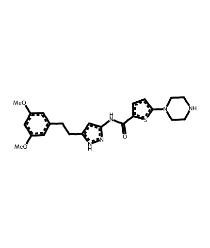 COc1cc(CCc2cc(NC(=O)c3ccc(N4CCNCC4)s3)n[nH]2)cc(OC)c1